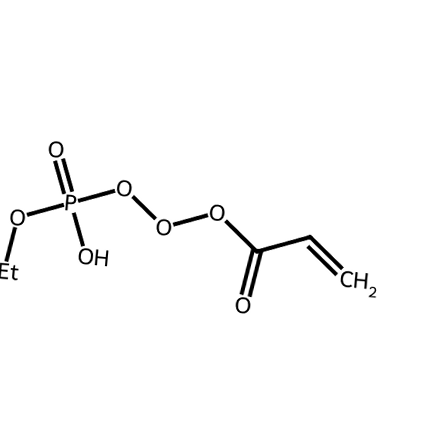 C=CC(=O)OOOP(=O)(O)OCC